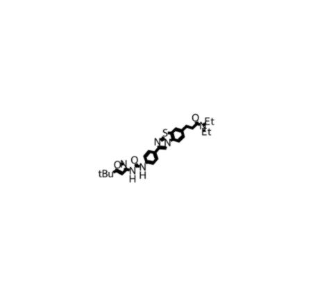 CCN(CC)C(=O)CCc1ccc2c(c1)sc1nc(-c3ccc(NC(=O)Nc4cc(C(C)(C)C)on4)cc3)cn12